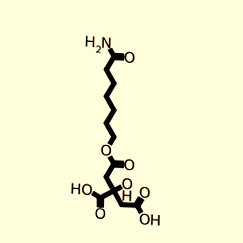 NC(=O)CCCCCCOC(=O)CC(O)(CC(=O)O)C(=O)O